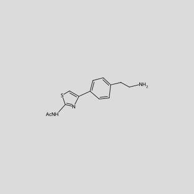 CC(=O)Nc1nc(-c2ccc(CCN)cc2)cs1